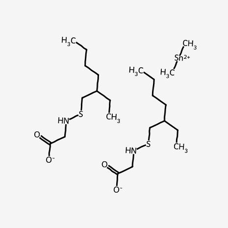 CCCCC(CC)CSNCC(=O)[O-].CCCCC(CC)CSNCC(=O)[O-].[CH3][Sn+2][CH3]